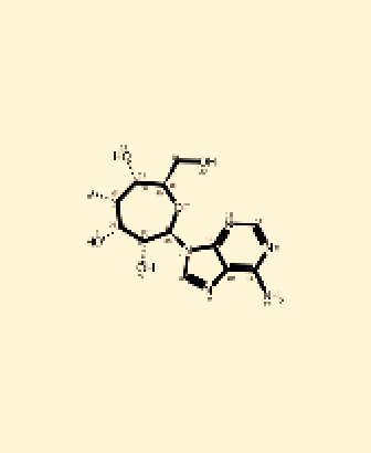 C[C@H]1[C@@H](O)[C@@H](O)[C@H](n2cnc3c(N)ncnc32)O[C@H](CO)[C@H]1O